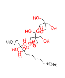 CCCCCCCCCCCCCCCC(O)(O)C(O)(O)C(=O)O.OCC(CO)(CO)CO.OCC(CO)(CO)CO